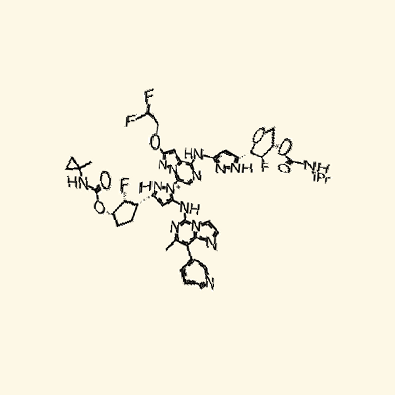 Cc1nc(Nc2cc([C@@H]3CC[C@H](OC(=O)NC4(C)CC4)[C@@H]3F)[nH][n+]2-c2cnc(Nc3cc([C@@H]4OC[C@H](OC(=O)NC(C)C)[C@H]4F)[nH]n3)c3cc(OCC(F)F)nn23)n2ccnc2c1-c1cccnc1